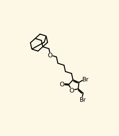 O=C1OC(=CBr)C(Br)=C1CCCCCOCC12CC3CC(CC(C3)C1)C2